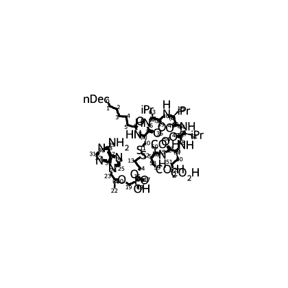 CCCCCCCCCCCCCCCC(=O)N[C@@H](CSSCCOP(=O)(O)CO[C@@H](C)Cn1cnc2c(N)ncnc21)C(=O)N[C@H](C(=O)N[C@H](C(=O)N[C@H](C(=O)N[C@@H](CCC(=O)O)C(=O)N[C@@H](CCC(=O)O)C(=O)O)C(C)C)C(C)C)C(C)C